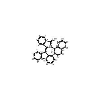 O=C1c2ccccc2C(=C2c3ccccc3-c3ccccc32)N1c1cccc2cccnc12